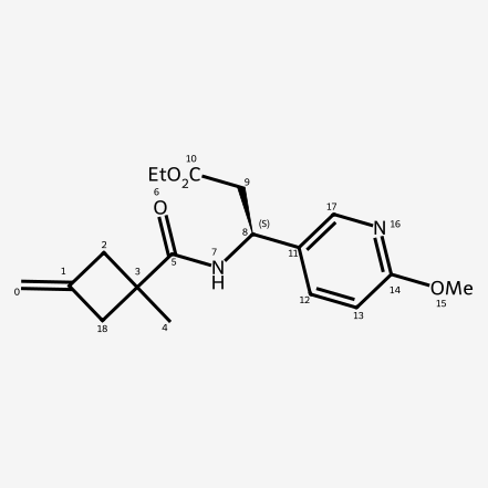 C=C1CC(C)(C(=O)N[C@@H](CC(=O)OCC)c2ccc(OC)nc2)C1